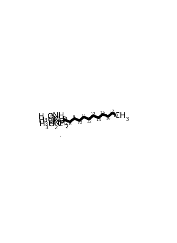 CN.CN.CN.[CH2]CCCCCCCCCCCC